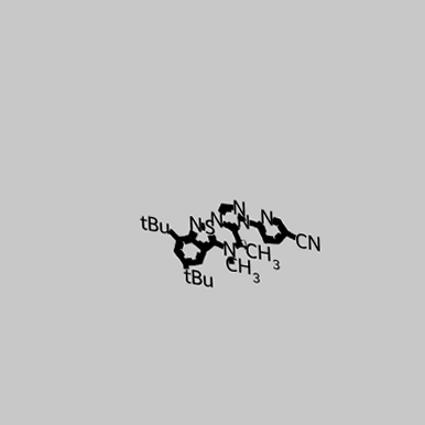 C[C@@H](c1ncnn1-c1ccc(C#N)cn1)N(C)c1snc2c(C(C)(C)C)cc(C(C)(C)C)cc12